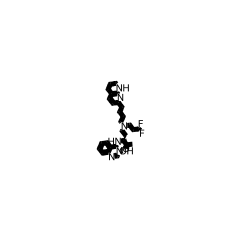 CC(=O)[C@H](CCN(CCCCc1ccc2c(n1)NCCC2)CCC(F)F)Nc1c2ccccc2nc[n+]1O